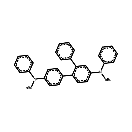 CCCCN(c1ccccc1)c1ccc(-c2ccc(N(CCCC)c3ccccc3)cc2-c2ccccc2)cc1